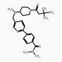 CN(C)C(=O)c1ccc(-c2ccc(CN(C)C3CCN(C(=O)CC(C)(C)C)CC3)cn2)cc1